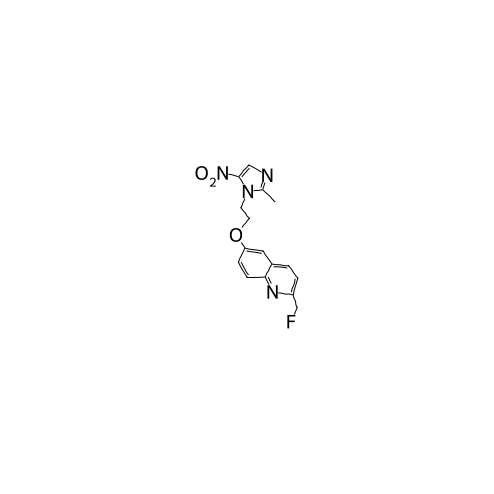 Cc1ncc([N+](=O)[O-])n1CCOc1ccc2nc(CF)ccc2c1